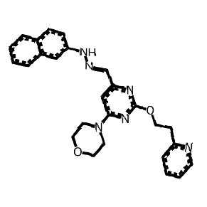 C(=NNc1ccc2ccccc2c1)c1cc(N2CCOCC2)nc(OCCc2ccccn2)n1